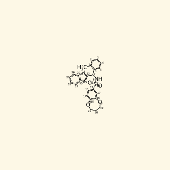 Cc1ccccc1C(NS(=O)(=O)c1ccc2c(c1)OCCCO2)c1cc2ccccc2s1